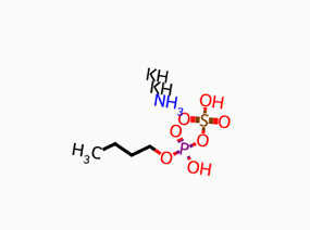 CCCCOP(=O)(O)OS(=O)(=O)O.N.[KH].[KH]